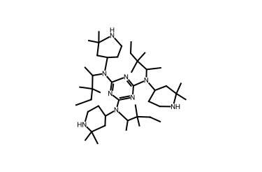 CCC(C)(C)C(C)N(c1nc(N(C2CCNC(C)(C)C2)C(C)C(C)(C)CC)nc(N(C2CCNC(C)(C)C2)C(C)C(C)(C)CC)n1)C1CCNC(C)(C)C1